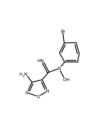 N=C(c1nonc1N)N(O)c1cccc(Br)c1